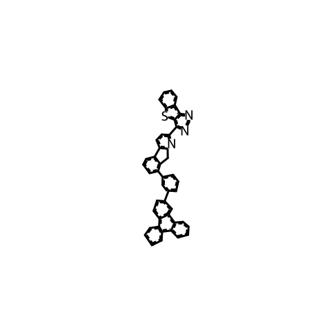 c1cc(-c2ccc3c4ccccc4c4ccccc4c3c2)cc(-c2cccc3c2Cc2nc(-c4ncnc5c4sc4ccccc45)ccc2-3)c1